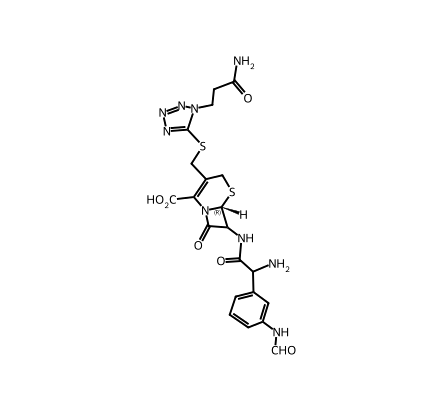 NC(=O)CCn1nnnc1SCC1=C(C(=O)O)N2C(=O)C(NC(=O)C(N)c3cccc(NC=O)c3)[C@H]2SC1